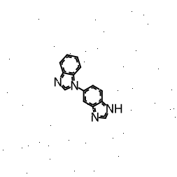 c1ccc2c(c1)ncn2-c1ccc2[nH]cnc2c1